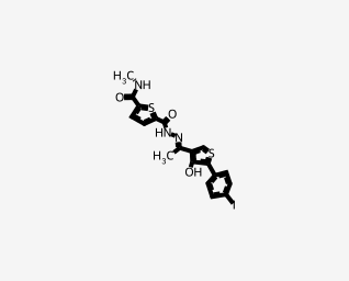 CNC(=O)c1ccc(C(=O)N/N=C(\C)c2csc(-c3ccc(I)cc3)c2O)s1